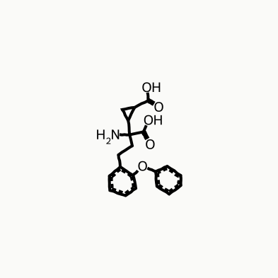 NC(CCc1ccccc1Oc1ccccc1)(C(=O)O)C1CC1C(=O)O